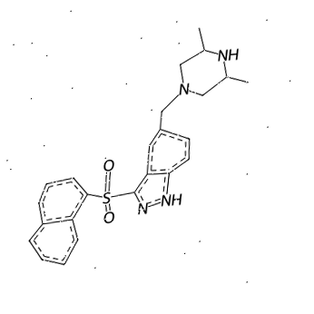 CC1CN(Cc2ccc3[nH]nc(S(=O)(=O)c4cccc5ccccc45)c3c2)CC(C)N1